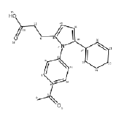 CC(=O)c1ccc(-n2c(CCC(=O)O)ccc2C2=CCCC=C2)cc1